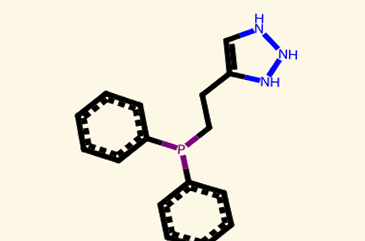 C1=C(CCP(c2ccccc2)c2ccccc2)NNN1